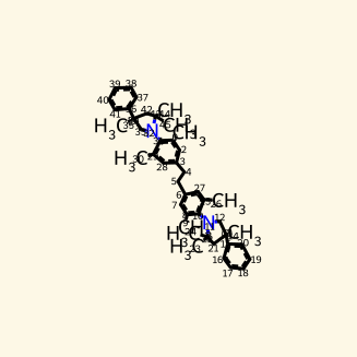 Cc1cc(CCc2cc(C)c(N3C[C@@](C)(c4ccccc4)CC3(C)C)c(C)c2)cc(C)c1N1C[C@](C)(c2ccccc2)CC1(C)C